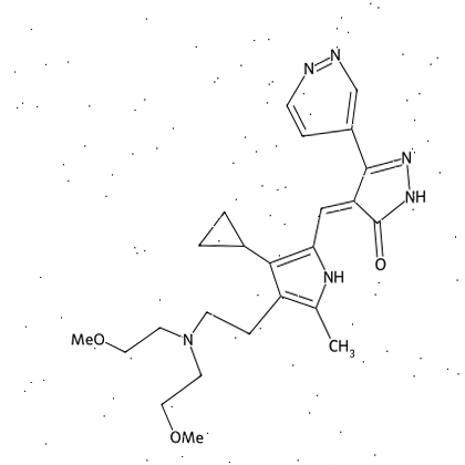 COCCN(CCOC)CCc1c(C)[nH]c(C=C2C(=O)NN=C2c2ccnnc2)c1C1CC1